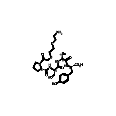 CC[C@H](C)[C@H](NC(=O)[C@H](CO)NC(=O)[C@@H]1CCCN1C(=O)COCCOCCN)C(=O)N[C@@H](Cc1ccc(O)cc1)C(=O)O